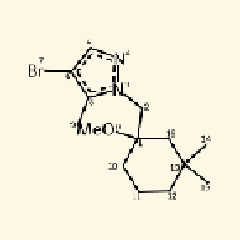 COC1(Cn2ncc(Br)c2C)CCCC(C)(C)C1